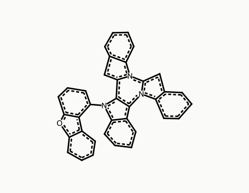 c1ccc2c(c1)cc1c3c(c4ccccc4n3-c3cccc4oc5ccccc5c34)n3c4ccccc4cc3n21